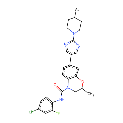 CC(=O)C1CCN(c2ncc(-c3ccc4c(c3)OC(C)CN4C(=O)Nc3ccc(Cl)cc3F)cn2)CC1